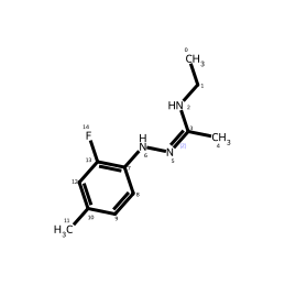 CCN/C(C)=N\Nc1ccc(C)cc1F